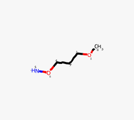 COCCCO[NH]